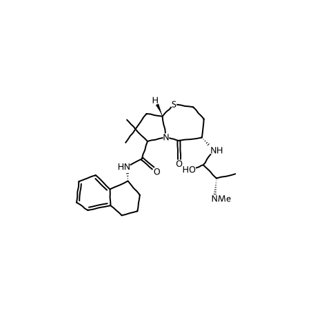 CN[C@@H](C)C(O)N[C@H]1CCS[C@H]2CC(C)(C)C(C(=O)N[C@@H]3CCCc4ccccc43)N2C1=O